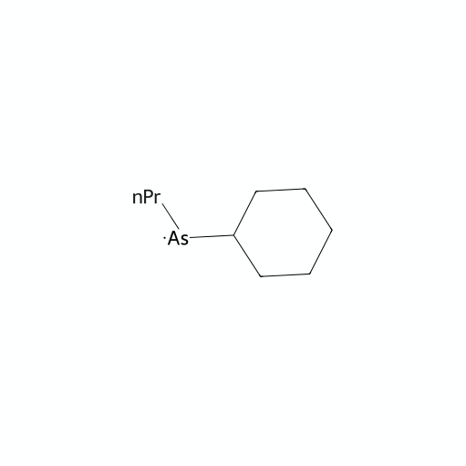 CCC[As]C1CCCCC1